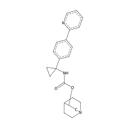 O=C(NC1(c2ccc(-c3ccccn3)cc2)CC1)OC1CN2CCC1CC2